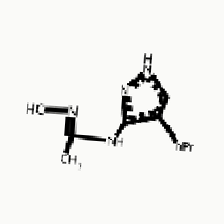 CCCc1c[nH]nc1NC(C)=NO